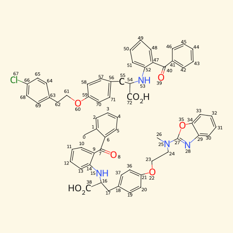 Cc1ccccc1C(=O)c1ccccc1NC(Cc1ccc(OCCN(C)c2nc3ccccc3o2)cc1)C(=O)O.O=C(c1ccccc1)c1ccccc1NC(Cc1ccc(OCCc2ccc(Cl)cc2)cc1)C(=O)O